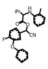 Cc1ccccc1NC(C(=O)OC(C#N)c1ccc(F)c(Oc2ccccc2)c1)C(C)C